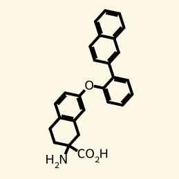 NC1(C(=O)O)CCc2ccc(Oc3ccccc3-c3ccc4ccccc4c3)cc2C1